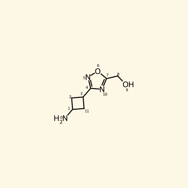 NC1CC(c2noc(CO)n2)C1